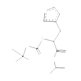 CC(C)OC(=O)C(Cc1ccsc1)NC(=O)OC(C)(C)C